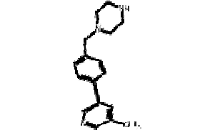 Cc1cncc(-c2ccc(CN3CCNCC3)cc2)c1